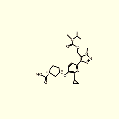 CC(C)N(C)C(=O)OCc1c(-c2ccc(O[C@H]3CCC[C@H](C(=O)O)C3)c(C3CC3)n2)nnn1C